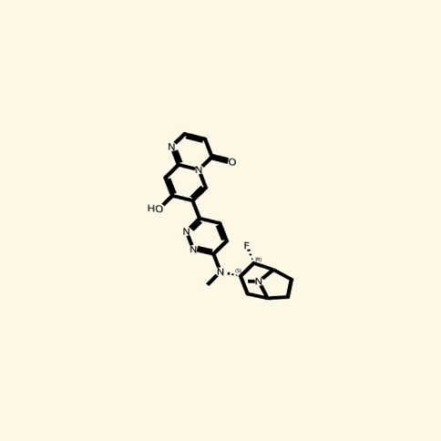 CN1C2CCC1[C@@H](F)[C@@H](N(C)c1ccc(-c3cn4c(=O)ccnc4cc3O)nn1)C2